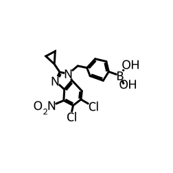 O=[N+]([O-])c1c(Cl)c(Cl)cc2c1nc(C1CC1)n2Cc1ccc(B(O)O)cc1